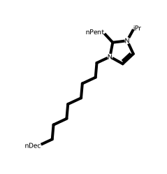 CCCCCCCCCCCCCCCCCCN1C=CN(C(C)C)C1CCCCC